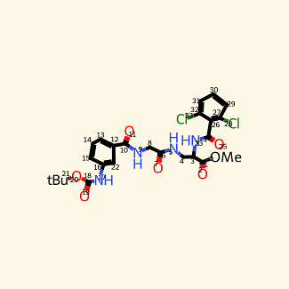 COC(=O)C(CNC(=O)CNC(=O)c1cccc(NC(=O)OC(C)(C)C)c1)NC(=O)c1c(Cl)cccc1Cl